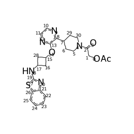 CC(=O)OCC(=O)N1CCC(c2nccnc2OC2CC(Nc3nc4ccccc4s3)C2)CC1